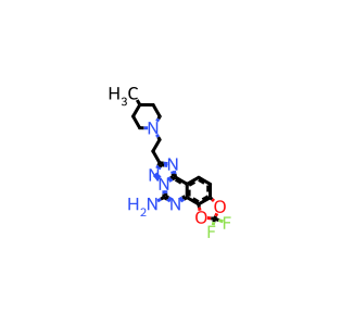 CC1CCN(CCc2nc3c4ccc5c(c4nc(N)n3n2)OC(F)(F)O5)CC1